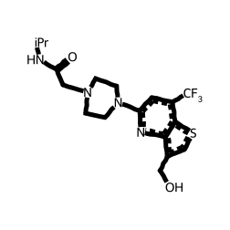 CC(C)NC(=O)CN1CCN(c2cc(C(F)(F)F)c3scc(CO)c3n2)CC1